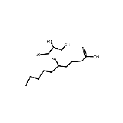 CCCCCC(O)CCCC(=O)O.OCC(O)CO